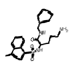 Cc1ccc(S(=O)(=O)NC(CCCN)C(=O)NCc2ccccc2)c2ccccc12